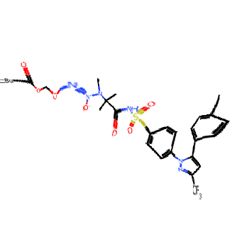 Cc1ccc(-c2cc(C(F)(F)F)nn2-c2ccc(S(=O)(=O)NC(=O)C(C)(C)N(C)/[N+]([O-])=N/OCOC(=O)C(C)(C)C)cc2)cc1